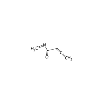 C=C=CC(=O)N=C